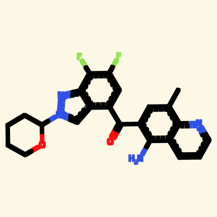 Cc1cc(C(=O)c2cc(F)c(F)c3nn(C4CCCCO4)cc23)c(N)c2cccnc12